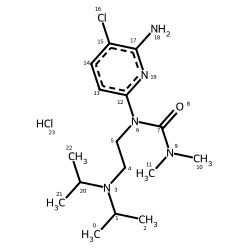 CC(C)N(CCN(C(=O)N(C)C)c1ccc(Cl)c(N)n1)C(C)C.Cl